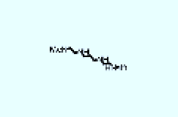 CNCCNCCCNCCNC(C)C